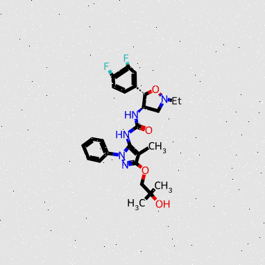 CCN1C[C@@H](NC(=O)Nc2c(C)c(OCC(C)(C)O)nn2-c2ccccc2)[C@H](c2ccc(F)c(F)c2)O1